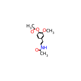 COc1cc(C=CNC(C)=O)ccc1OC(C)=O